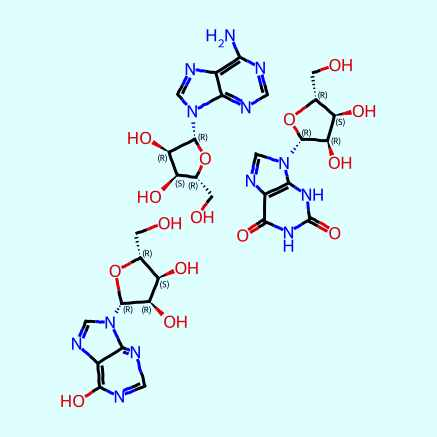 Nc1ncnc2c1ncn2[C@@H]1O[C@H](CO)[C@@H](O)[C@H]1O.O=c1[nH]c(=O)c2ncn([C@@H]3O[C@H](CO)[C@@H](O)[C@H]3O)c2[nH]1.OC[C@H]1O[C@@H](n2cnc3c(O)ncnc32)[C@H](O)[C@@H]1O